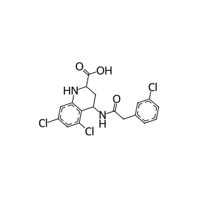 O=C(Cc1cccc(Cl)c1)NC1CC(C(=O)O)Nc2cc(Cl)cc(Cl)c21